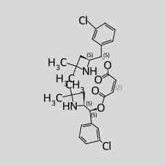 CC1(C)C[C@@H]([C@@H](OC(=O)/C=C\C(=O)O[C@@H](c2cccc(Cl)c2)[C@@H]2CC(C)(C)N2)c2cccc(Cl)c2)N1